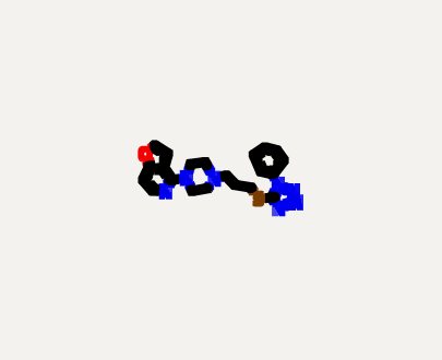 c1ccc(-n2nnnc2SCCCN2CCN(c3nccc4occc34)CC2)cc1